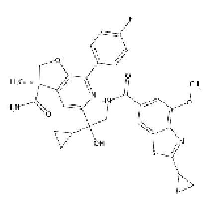 COc1cc(C(=O)NCC(O)(c2cc3c(c(-c4ccc(F)cc4)n2)OC[C@]3(C)C(N)=O)C2CC2)cc2sc(C3CC3)nc12